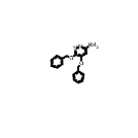 Nc1cc(OCc2ccccc2)c(OCc2ccccc2)nn1